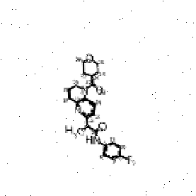 CC(C(=O)Nc1ccc(F)cc1)c1ccc2c(n1)CCCN2C(=O)C1CCOCC1